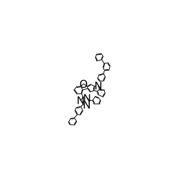 c1ccc(-c2ccc(-c3nc(-c4ccccc4)nc(-c4cccc5oc6cc7c(cc6c45)c4ccccc4n7-c4ccc(-c5cccc(-c6ccccc6)c5)cc4)n3)cc2)cc1